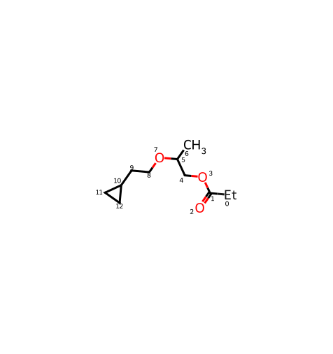 CCC(=O)OCC(C)OCCC1CC1